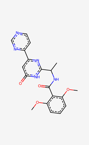 COc1cccc(OC)c1C(=O)NC(C)c1nc(-c2ccncn2)cc(=O)[nH]1